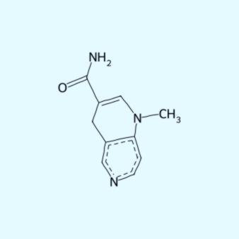 CN1C=C(C(N)=O)Cc2cnccc21